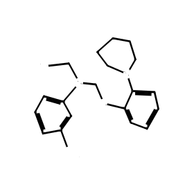 CC(=O)CN(CSc1ccccc1N1CCCCC1)c1cccc(C(=O)O)c1